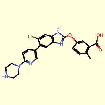 Cc1ccc(Oc2nc3cc(-c4ccc(N5CCNCC5)nc4)c(Cl)cc3[nH]2)cc1C(=O)O